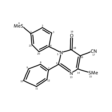 CSc1ccc(-n2c(-c3ccccc3)nc(SC)c(C#N)c2=O)cc1